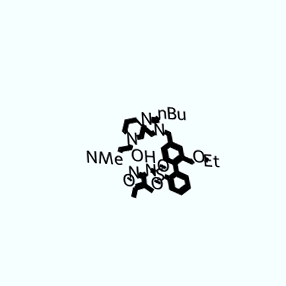 CCCCC1=N[C@]2(CCCN(C(=O)CNC)C2)CN1Cc1ccc(-c2ccccc2S(=O)(=O)Nc2noc(C)c2C)c(COCC)c1